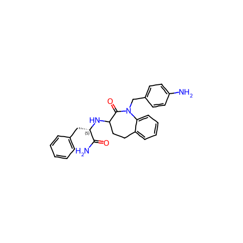 NC(=O)[C@H](Cc1ccccc1)NC1CCc2ccccc2N(Cc2ccc(N)cc2)C1=O